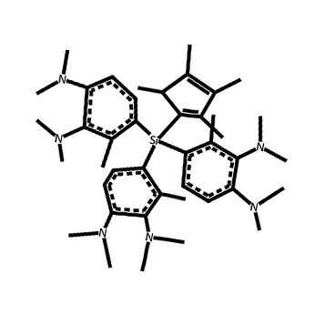 CC1=C(C)C(C)C([Si](c2ccc(N(C)C)c(N(C)C)c2C)(c2ccc(N(C)C)c(N(C)C)c2C)c2ccc(N(C)C)c(N(C)C)c2C)=C1C